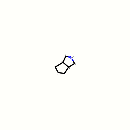 [CH]1CC2C[N]CC2C1